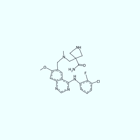 COc1cc2ncnc(Nc3cccc(Cl)c3F)c2cc1CN(C)CC1(C(N)=O)CCNC1